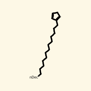 CCCCCCCCCCCCCCCCCCCCCCCC1=[C]CC=C1